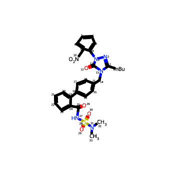 CCCCc1nn(-c2ccccc2[N+](=O)[O-])c(=O)n1Cc1ccc(-c2ccccc2C(=O)NS(=O)(=O)N(C)C)cc1